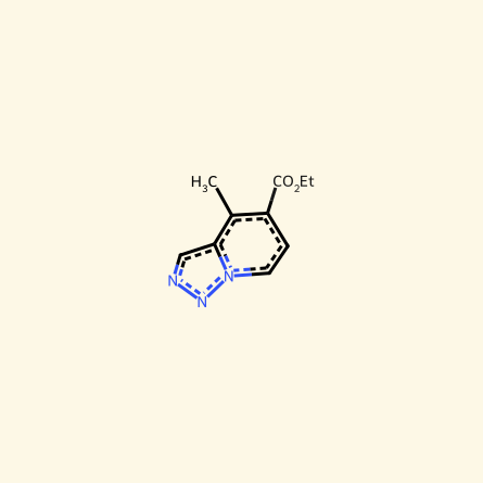 CCOC(=O)c1ccn2nncc2c1C